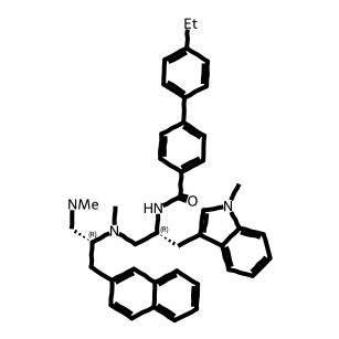 CCc1ccc(-c2ccc(C(=O)N[C@H](Cc3cn(C)c4ccccc34)CN(C)[C@@H](CNC)Cc3ccc4ccccc4c3)cc2)cc1